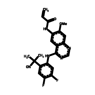 C=CC(=O)Nc1cc2c(Nc3cc(F)c(F)cc3C(C)(C)N=O)ncnc2cc1OC